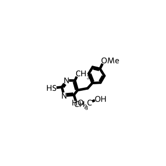 COc1ccc(Cc2c(C)nc(S)nc2C)cc1.O=C(O)O